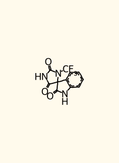 O=C1NC(=O)C2(C(=O)Nc3ccccc32)N1C(F)(F)F